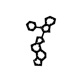 c1ccc(-n2c(-c3cc4ccc5c(ccc6ccsc65)c4s3)nc3ccccc32)cc1